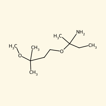 CCC(C)(N)OCCC(C)(C)OC